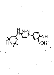 CC1(C)CC(Nc2ccc(C3=C/C(=N/O)C(=N)C=C3)nn2)CC(C)(C)N1